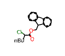 CCCCC(Cl)C(=O)OCC1c2ccccc2-c2ccccc21